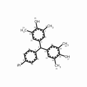 Cc1cc(C(c2ccc(C(C)C)cc2)c2cc(C)c(O)c(C)c2)cc(C)c1O